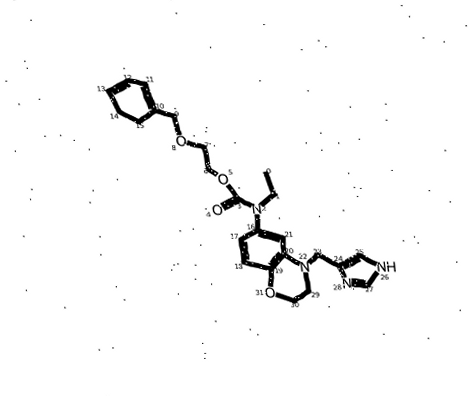 CCN(C(=O)OCCOCC1=CC=CCC1)c1ccc2c(c1)N(Cc1c[nH]cn1)CCO2